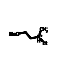 [CH2-][NH+](CC)CCOC